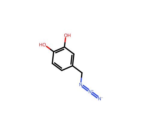 [N-]=[N+]=NCc1ccc(O)c(O)c1